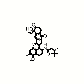 CC[C@@]1(O)C(=O)CCc2c1cc1n(c2=O)Cc2c-1nc1cc(F)c(OC)c3c1c2C(NC(=O)C[C@H](C)C(C)(C)C)CC3